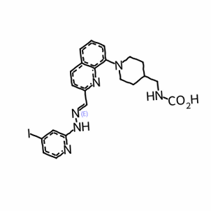 O=C(O)NCC1CCN(c2cccc3ccc(/C=N/Nc4cc(I)ccn4)nc23)CC1